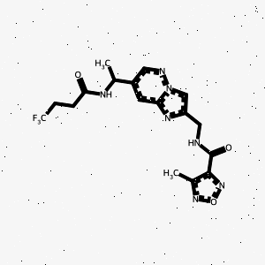 Cc1nonc1C(=O)NCc1cn2ncc(C(C)NC(=O)CCC(F)(F)F)cc2n1